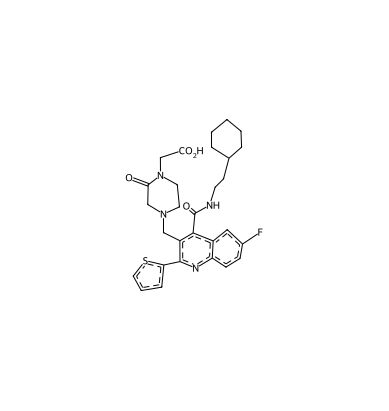 O=C(O)CN1CCN(Cc2c(-c3cccs3)nc3ccc(F)cc3c2C(=O)NCCC2CCCCC2)CC1=O